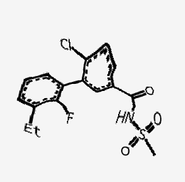 CCc1cccc(-c2cc(C(=O)NS(C)(=O)=O)ccc2Cl)c1F